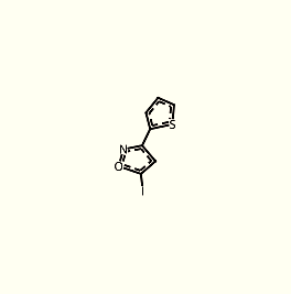 Ic1cc(-c2cccs2)no1